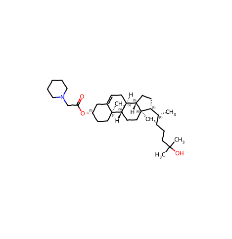 C[C@H](CCCC(C)(C)O)[C@H]1CC[C@H]2[C@@H]3CC=C4C[C@@H](OC(=O)CN5CCCCC5)CC[C@]4(C)[C@H]3CC[C@]12C